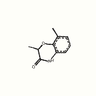 Cc1cccc2c1OC(C)C(=O)N2